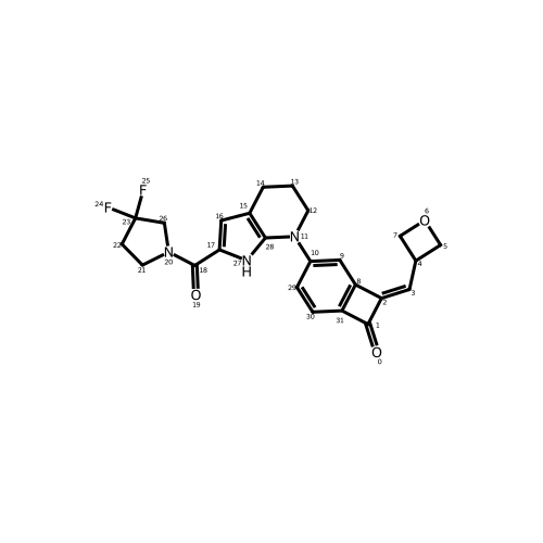 O=C1/C(=C/C2COC2)c2cc(N3CCCc4cc(C(=O)N5CCC(F)(F)C5)[nH]c43)ccc21